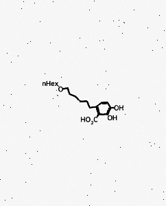 CCCCCCOCCCCCCc1ccc(O)c(O)c1C(=O)O